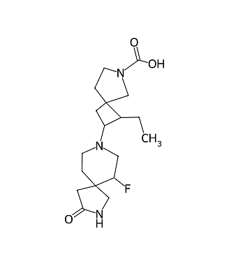 CCC1C(N2CCC3(CNC(=O)C3)C(F)C2)CC12CCN(C(=O)O)C2